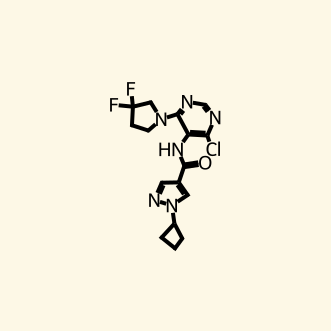 O=C(Nc1c(Cl)ncnc1N1CCC(F)(F)C1)c1cnn(C2CCC2)c1